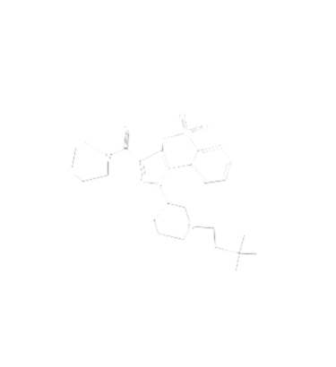 CC(C)(C)CCN1CCCC(n2nc(C(=O)N3CCOCC3)c3c2-c2ccccc2S(=O)(=O)C3)C1